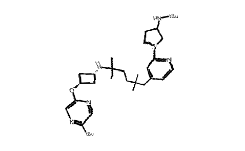 CC(C)(CCC(C)(C)N[C@H]1C[C@H](Oc2cnc(C(C)(C)C)cn2)C1)Cc1ccnc(N2CCC(NC(C)(C)C)C2)c1